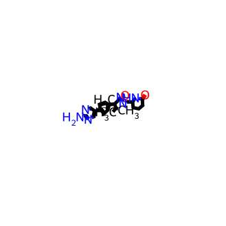 CC(C)C(C)(c1ccc(-c2cnc(N)nc2)cc1)c1noc(C2CCCC(=O)N2)n1